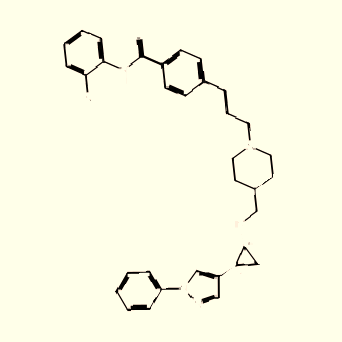 Nc1ccccc1NC(=O)c1ccc(CCCN2CCC(CN[C@@H]3C[C@H]3c3cnn(-c4ccccc4)c3)CC2)cc1